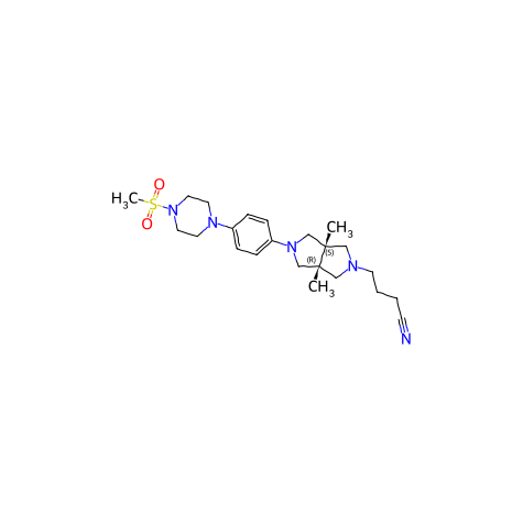 C[C@@]12CN(CCCC#N)C[C@]1(C)CN(c1ccc(N3CCN(S(C)(=O)=O)CC3)cc1)C2